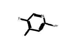 CCCc1cc(C)c(F)cn1